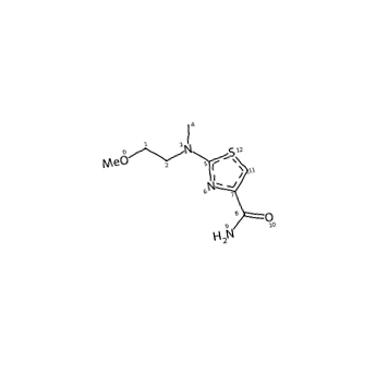 COCCN(C)c1nc(C(N)=O)[c]s1